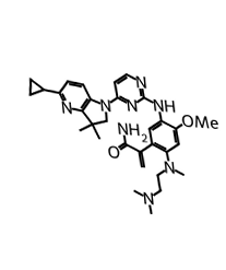 C=C(C(N)=O)c1cc(Nc2nccc(N3CC(C)(C)c4nc(C5CC5)ccc43)n2)c(OC)cc1N(C)CCN(C)C